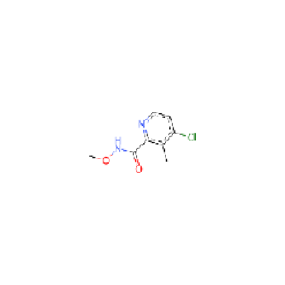 CONC(=O)c1nccc(Cl)c1C